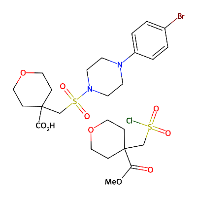 COC(=O)C1(CS(=O)(=O)Cl)CCOCC1.O=C(O)C1(CS(=O)(=O)N2CCN(c3ccc(Br)cc3)CC2)CCOCC1